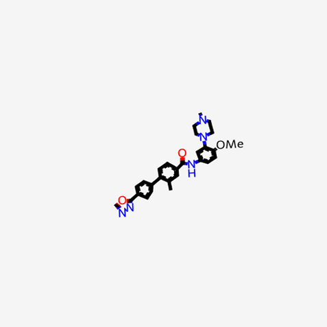 COc1ccc(NC(=O)c2ccc(-c3ccc(-c4nnco4)cc3)c(C)c2)cc1N1CCN(C)CC1